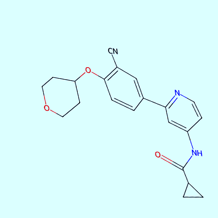 N#Cc1cc(-c2cc(NC(=O)C3CC3)ccn2)ccc1OC1CCOCC1